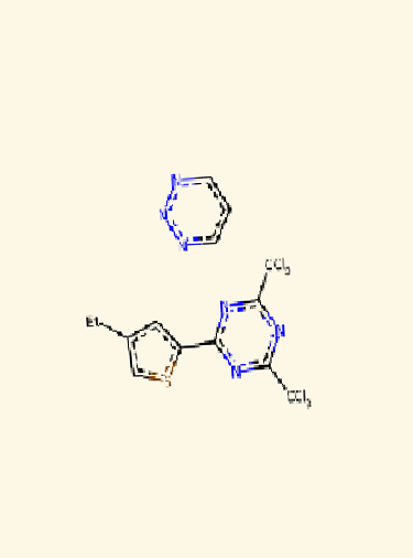 CCc1csc(-c2nc(C(Cl)(Cl)Cl)nc(C(Cl)(Cl)Cl)n2)c1.c1cnnnc1